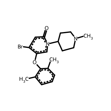 Cc1cccc(C)c1Oc1cn(C2CCN(C)CC2)c(=O)cc1Br